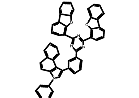 c1ccc(-n2cc(-c3cccc(-c4nc(-c5cccc6c5oc5ccccc56)nc(-c5cccc6c5oc5ccccc56)n4)c3)c3c4ccccc4ccc32)cc1